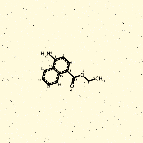 CCOC(=O)c1ccc(N)c2ccccc12